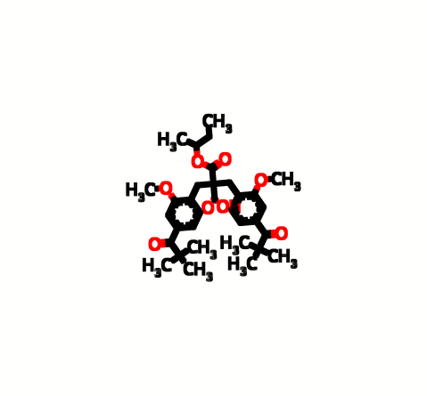 CCC(C)OC(=O)C(Cc1ccc(C(=O)C(C)(C)C)cc1OC)(Cc1ccc(C(=O)C(C)(C)C)cc1OC)C(=O)O